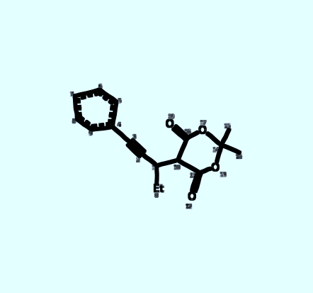 CCC(C#Cc1ccccc1)C1C(=O)OC(C)(C)OC1=O